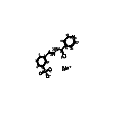 O=C(N/N=C/c1cccc(S(=O)(=O)[O-])c1)c1ccncc1.[Na+]